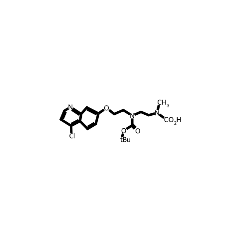 CN(CCN(CCOc1ccc2c(Cl)ccnc2c1)C(=O)OC(C)(C)C)C(=O)O